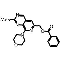 CSc1ncc2cc(COC(=O)c3ccccc3)nc(N3CCOCC3)c2n1